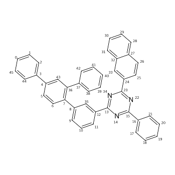 c1ccc(-c2ccc(-c3cccc(-c4nc(-c5ccccc5)nc(-c5ccc6ccccc6c5)n4)c3)c(-c3ccccc3)c2)cc1